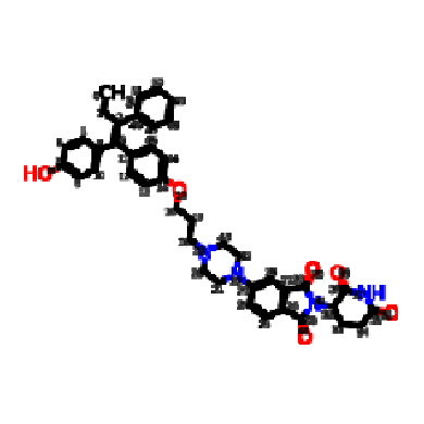 CC/C(=C(\c1ccc(O)cc1)c1ccc(OCCCN2CCN(c3ccc4c(c3)C(=O)N(C3CCC(=O)NC3=O)C4=O)CC2)cc1)c1ccccc1